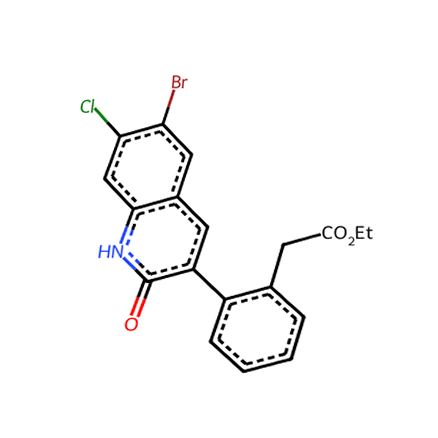 CCOC(=O)Cc1ccccc1-c1cc2cc(Br)c(Cl)cc2[nH]c1=O